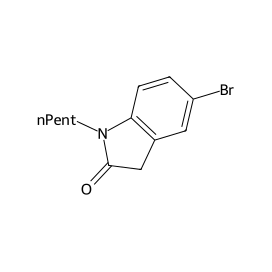 CCCCCN1C(=O)Cc2cc(Br)ccc21